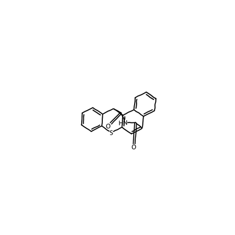 O=C1NC(=O)C2c3ccccc3Sc3cc1c1ccccc1c32